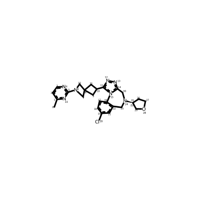 Cc1ccnc(N2CC3(CC(c4nnc5n4-c4ccc(Cl)cc4CN([C@H]4CCOC4)C5)C3)C2)n1